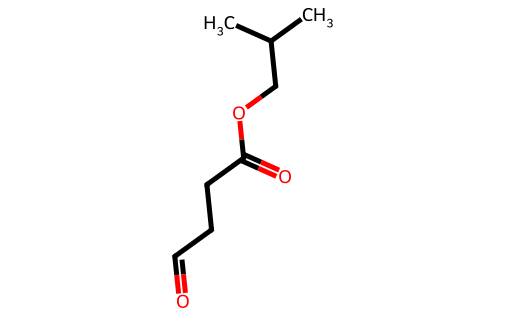 CC(C)COC(=O)CCC=O